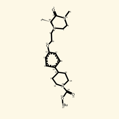 C[C@@H]1C(=O)N(C)CCN1CCOc1ccc(C2CCN(C(=O)OC(C)(C)C)CC2)cc1